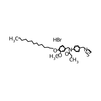 Br.CCCCCCCCCCCCCCOc1ccc(CN(C(=O)CC)c2ccc(CN3C=CSC3)cc2)cc1OC